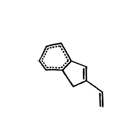 C=CC1=Cc2cc[c]cc2C1